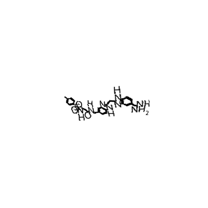 Cc1ccc(S(=O)(=O)NCC(=O)NCc2ccc3[nH]c(Cc4nc5cc(C(=N)N)ccc5[nH]4)nc3c2)cc1